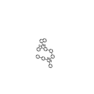 c1ccc(-c2ccc(-c3cc(-c4ccccc4)nc(-c4cccc(-c5cccc(-c6ccc7c(c6)nc(-c6cccc8ccccc68)c6sc8ccccc8c67)c5)c4)n3)cc2)cc1